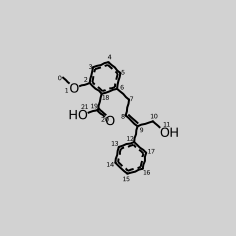 COc1cccc(C/C=C(\CO)c2ccccc2)c1C(=O)O